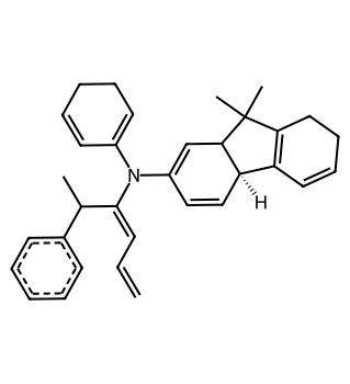 C=C/C=C(\C(C)c1ccccc1)N(C1=CCCC=C1)C1=CC2[C@H](C=C1)C1=C(CCC=C1)C2(C)C